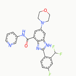 O=C(Nc1cccnc1)c1cc(N2CCOCC2)cc2[nH]c(-c3ccc(F)cc3C(F)F)nc12